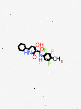 Cc1c(F)cc(NC(=O)C2=C(O)CC(C3CCCCC3)NC2=O)c(F)c1F